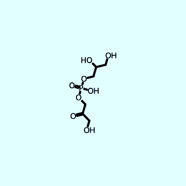 O=C(CO)COP(=O)(O)OCC(O)CO